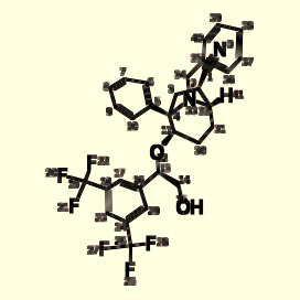 N#C[C@@H]1C[C@@]2(c3ccccc3)[C@H](O[C@@H](CO)c3cc(C(F)(F)F)cc(C(F)(F)F)c3)CC[C@@H]1N2Cc1ccccc1